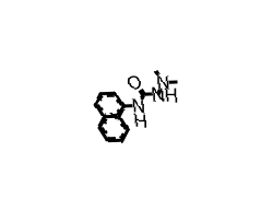 CN(C)NC(=O)Nc1cccc2ccccc12